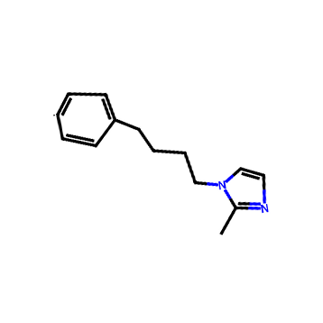 Cc1nccn1CCCCc1cc[c]cc1